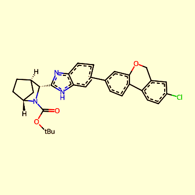 CC(C)(C)OC(=O)N1[C@@H]2CC[C@H](C2)[C@@H]1c1nc2ccc(-c3ccc4c(c3)OCc3cc(Cl)ccc3-4)cc2[nH]1